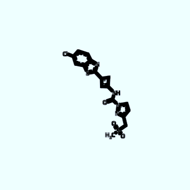 CS(=O)(=O)Cc1ccn(C(=O)NC23CC(c4nc5ccc(Cl)cc5s4)(C2)C3)n1